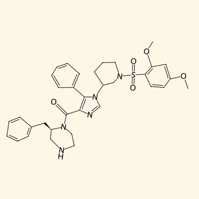 COc1ccc(S(=O)(=O)N2CCCC(n3cnc(C(=O)N4CCNC[C@H]4Cc4ccccc4)c3-c3ccccc3)C2)c(OC)c1